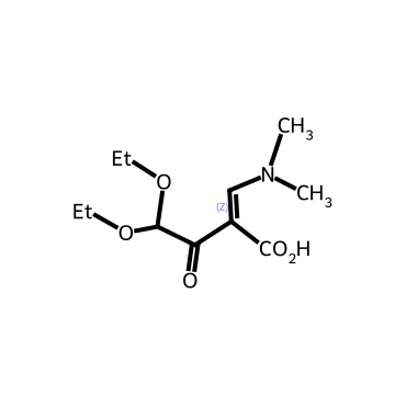 CCOC(OCC)C(=O)/C(=C/N(C)C)C(=O)O